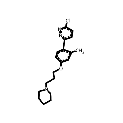 Cc1cc(OCCCN2CCCCC2)ccc1-c1ccc(Cl)nn1